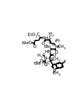 CCOC(=O)[C@@H](CCC(=O)OC)NC(=O)/C(C)=C/[C@H](C(C)C)N(C)C(=O)[C@@H](NC(=O)[C@@H](N(C)C(=O)OC(C)(C)C)C(C)(C)c1cn(C)c2ccc(F)cc12)C(C)(C)C